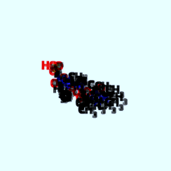 CCC(C)C(C(CC(=O)N1CCCC1C(OC)C(C)C(=O)NC(Cc1ccccc1)C(=O)NCCS(=O)(=O)O)OC)N(C)C(=O)[C@@H](NC(=O)C(C(C)C)N(C)C(C)C)C(C)C